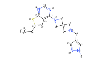 Cn1cc(CN2CC3(C2)CN(c2ncnc4sc(CC(F)(F)F)cc24)C3)cn1